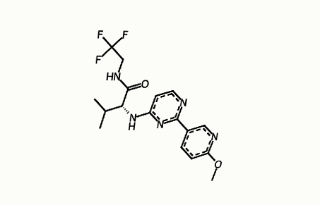 COc1ccc(-c2nccc(N[C@@H](C(=O)NCC(F)(F)F)C(C)C)n2)cn1